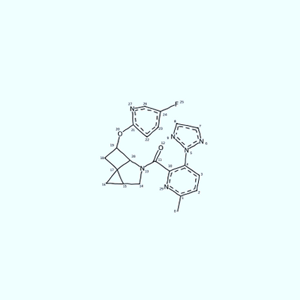 Cc1ccc(-n2nccn2)c(C(=O)N2CC3CC34CC(Oc3ccc(F)cn3)C24)n1